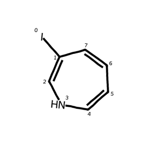 IC1=CNC=CC=C1